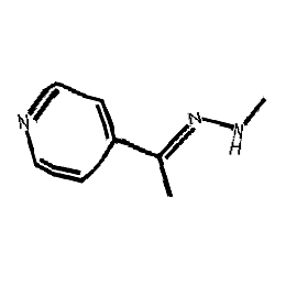 CNN=C(C)c1ccncc1